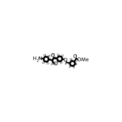 COC(=O)c1cccc(COc2ccc3c(=O)c(-c4ccc(N)cc4)coc3c2)c1